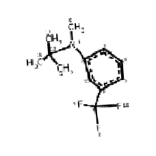 CN(c1cccc(C(F)(F)F)c1)C(C)(C)C